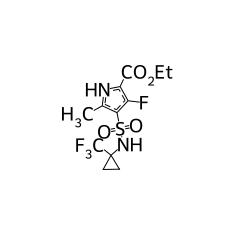 CCOC(=O)c1[nH]c(C)c(S(=O)(=O)NC2(C(F)(F)F)CC2)c1F